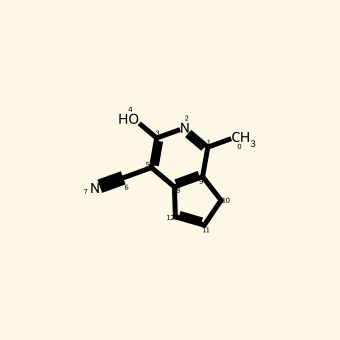 Cc1nc(O)c(C#N)c2c1CC=C2